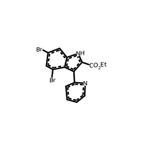 CCOC(=O)c1[nH]c2cc(Br)cc(Br)c2c1-c1ccccn1